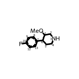 COC1CNCCC1c1ccc(F)cc1